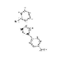 COc1ccc(-c2cnc(-c3ccncc3Br)o2)cc1